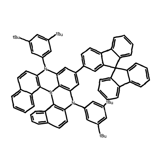 CC(C)(C)c1cc(N2c3cc(-c4ccc5c(c4)C4(c6ccccc6-c6ccccc64)c4ccccc4-5)cc4c3B(c3c2ccc2ccccc32)c2c(ccc3ccccc23)N4c2cc(C(C)(C)C)cc(C(C)(C)C)c2)cc(C(C)(C)C)c1